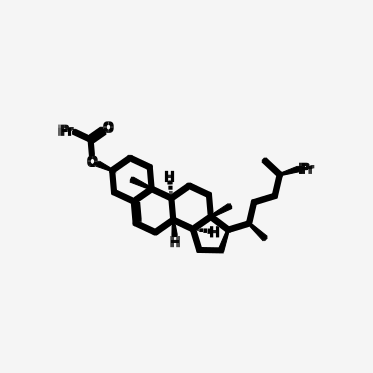 CC(C)C(=O)O[C@H]1CC[C@@]2(C)C(=CC[C@H]3[C@@H]4CC[C@H]([C@H](C)CC[C@@H](C)C(C)C)[C@@]4(C)CC[C@@H]32)C1